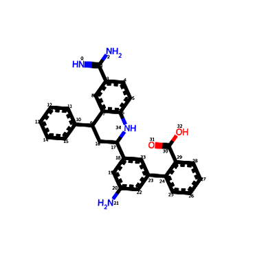 N=C(N)c1ccc2c(c1)C(c1ccccc1)CC(c1cc(N)cc(-c3ccccc3C(=O)O)c1)N2